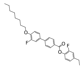 CCCCCCCCOc1ccc(-c2ccc(C(=O)Oc3ccc(CC)cc3F)cc2)cc1F